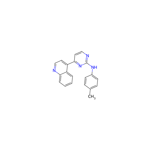 Cc1ccc(Nc2nccc(-c3ccnc4ccccc34)n2)cc1